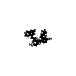 NCc1oc(-c2ccc(O)c3nc(C(F)(F)F)ccc23)nc1C(=O)NCc1cc(F)cc2c1OCOC2